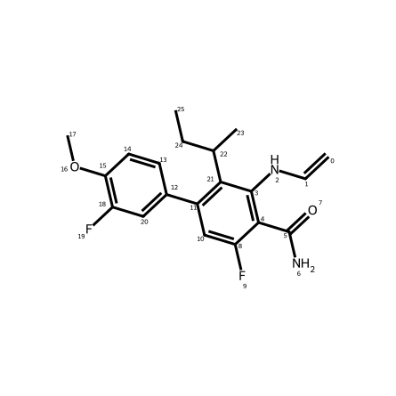 C=CNc1c(C(N)=O)c(F)cc(-c2ccc(OC)c(F)c2)c1C(C)CC